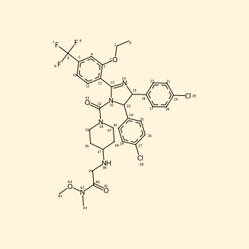 CCOc1cc(C(F)(F)F)ccc1C1=NC(c2ccc(Cl)cc2)C(c2ccc(Cl)cc2)N1C(=O)N1CCC(NCC(=O)N(C)OC)CC1